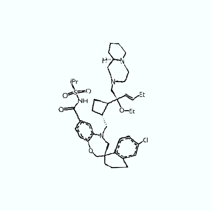 CC/C=C/[C@](CN1CCN2CCCC[C@@H]2C1)(OCC)[C@@H]1CC[C@H]1CN1C[C@@]2(CCCc3cc(Cl)ccc32)COc2ccc(C(=O)NS(=O)(=O)C(C)C)cc21